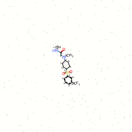 CN(CC(=O)NC(C)(C)C)C1CCC(S(=O)(=O)c2cccc(C(F)(F)F)c2)CC1